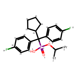 CCCC(CC)OP(=O)(O)C(c1ccc(F)cc1)(c1ccc(F)cc1)C1CCCC1